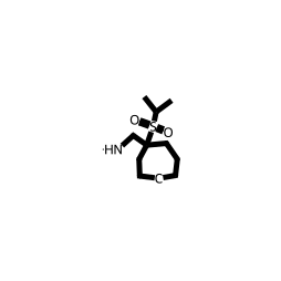 CC(C)S(=O)(=O)C1(C[NH])CCCCCC1